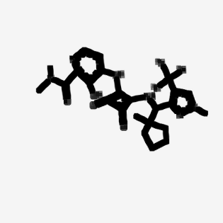 [2H]C([2H])([2H])c1cn(C)nc1C(Nc1c(Nc2ccnc(C(=O)N(C)C)c2O)c(=O)c1=O)C1(C)CCCC1